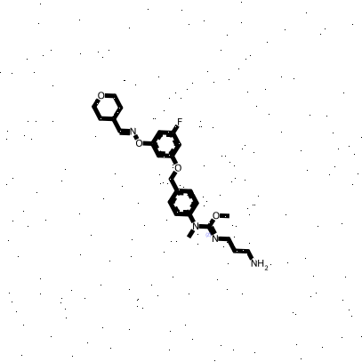 CO/C(=N\CCCN)N(C)c1ccc(COc2cc(F)cc(ON=CC3CCOCC3)c2)cc1